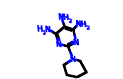 Nc1nc(N2CCCCC2)nc(N)c1N